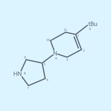 CC(C)(C)C1=CCN(C2CCNC2)CC1